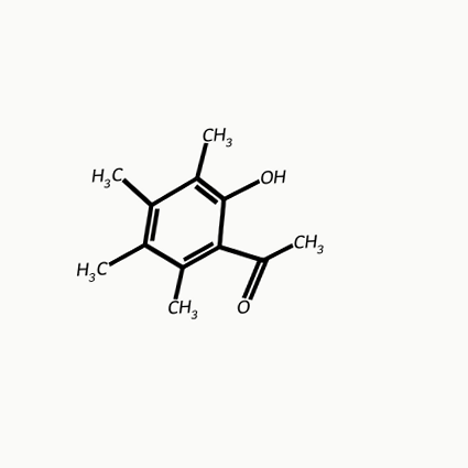 CC(=O)c1c(C)c(C)c(C)c(C)c1O